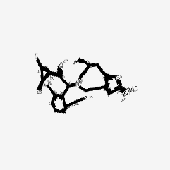 CC(=O)Oc1cc2c(s1)CC(C)N(C(C(=O)C1C(C)C1C)c1c(C)cccc1F)C2